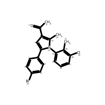 CC(=O)c1cc(-c2ccc(Br)cc2)n(-c2cccc(Cl)c2C)c1C